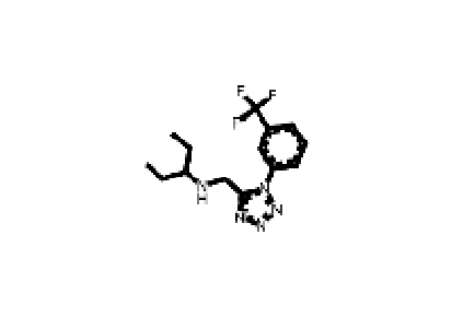 CCC(CC)NCc1nnnn1-c1cccc(C(F)(F)F)c1